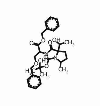 CC1CCC(C(=O)NC(COCc2ccccc2)C(=O)OCc2ccccc2)(C(C)O)N1C(=O)OC(C)(C)C